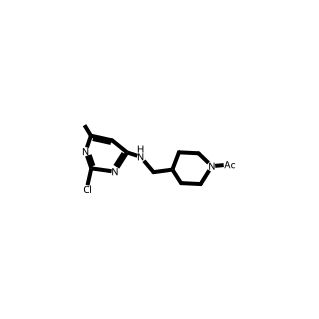 CC(=O)N1CCC(CNc2cc(C)nc(Cl)n2)CC1